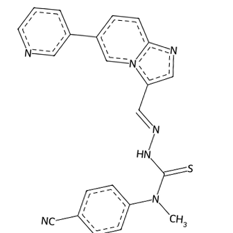 CN(C(=S)N/N=C/c1cnc2ccc(-c3cccnc3)cn12)c1ccc(C#N)cc1